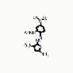 CCN(CC)c1ccc(/N=N/c2sc(N)cc2[N+](=O)[O-])c(NC(C)=O)c1